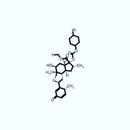 CC(C)C1CCC(OC(=O)O[C@]2(C(=O)OCF)[C@H](C)C[C@H]3[C@H](C[C@H](F)C4=CC(=O)C=C[C@H]4C)[C@](C)(F)[C@@H](O)C[C@@]32C)CC1